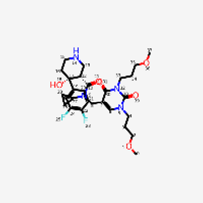 COCCCn1cc(CN(C(=O)[C@H]2CNCC[C@]2(O)c2ccc(F)c(F)c2)C2CC2)c(=O)n(CCCOC)c1=O